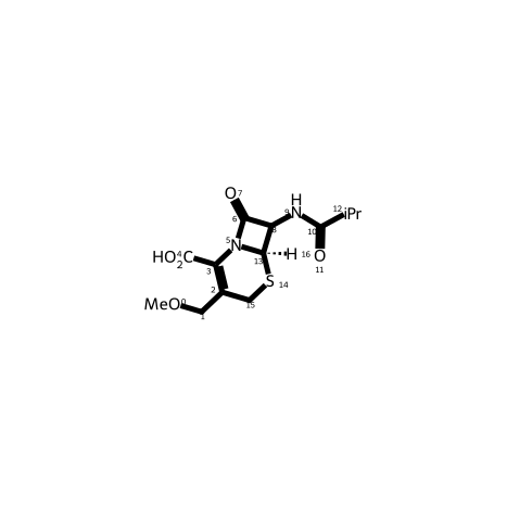 COCC1=C(C(=O)O)N2C(=O)C(NC(=O)C(C)C)[C@H]2SC1